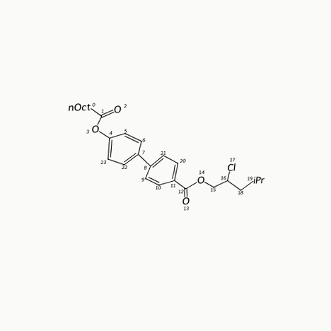 CCCCCCCCC(=O)Oc1ccc(-c2ccc(C(=O)OCC(Cl)CC(C)C)cc2)cc1